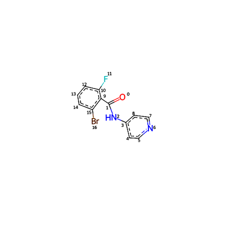 O=C(Nc1ccncc1)c1c(F)cccc1Br